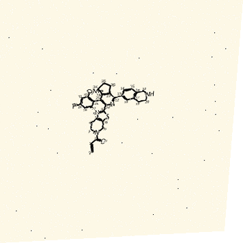 C=CC(=O)N1CCc2nc(-c3nc(-c4ccc5c(c4)CCNC5)c4c(c3-c3ccc(F)cc3OC)CCC4)sc2C1